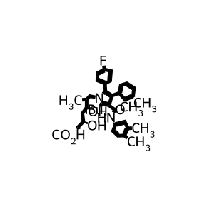 CCC(C)c1c(C(=O)Nc2ccc(C)c(C)c2)c(-c2cccc(C)c2C)c(-c2ccc(F)cc2)n1CC(C)[C@@H](O)C[C@@H](O)CC(=O)O